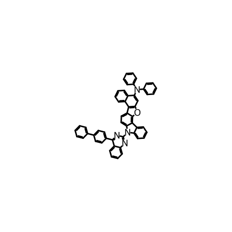 c1ccc(-c2ccc(-c3nc(-n4c5ccccc5c5c6oc7cc(N(c8ccccc8)c8ccccc8)c8ccccc8c7c6ccc54)nc4ccccc34)cc2)cc1